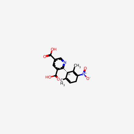 CC1=CCC([N+](=O)[O-])=C(C)[C@H]1c1ncc(C(=O)O)cc1C(=O)O